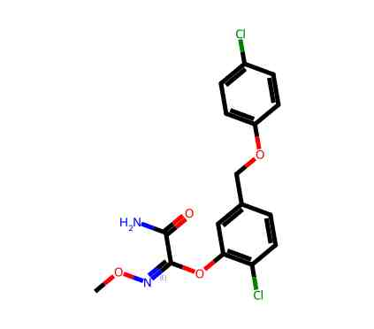 CO/N=C(/Oc1cc(COc2ccc(Cl)cc2)ccc1Cl)C(N)=O